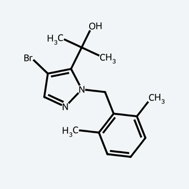 Cc1cccc(C)c1Cn1ncc(Br)c1C(C)(C)O